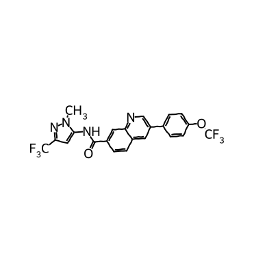 Cn1nc(C(F)(F)F)cc1NC(=O)c1ccc2cc(-c3ccc(OC(F)(F)F)cc3)cnc2c1